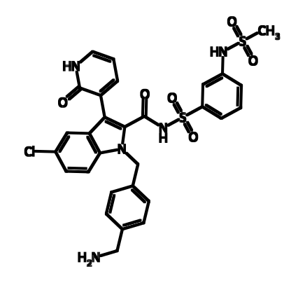 CS(=O)(=O)Nc1cccc(S(=O)(=O)NC(=O)c2c(-c3ccc[nH]c3=O)c3cc(Cl)ccc3n2Cc2ccc(CN)cc2)c1